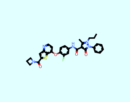 CCCn1c(C)c(C(=O)Nc2ccc(Oc3ccnc4cc(C(=O)N5CCC5)sc34)c(F)c2)c(=O)n1-c1ccccc1